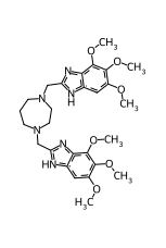 COc1cc2[nH]c(CN3CCCN(Cc4nc5c(OC)c(OC)c(OC)cc5[nH]4)CC3)nc2c(OC)c1OC